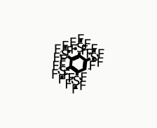 FS(F)(F)(F)(F)c1[c]c(S(F)(F)(F)(F)F)c(S(F)(F)(F)(F)F)c(S(F)(F)(F)(F)F)c1S(F)(F)(F)(F)F